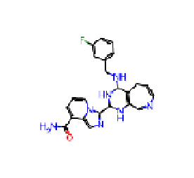 NC(=O)c1cccn2c(C3NC4=C(CC=CN=C4)C(NCc4cccc(F)c4)N3)ncc12